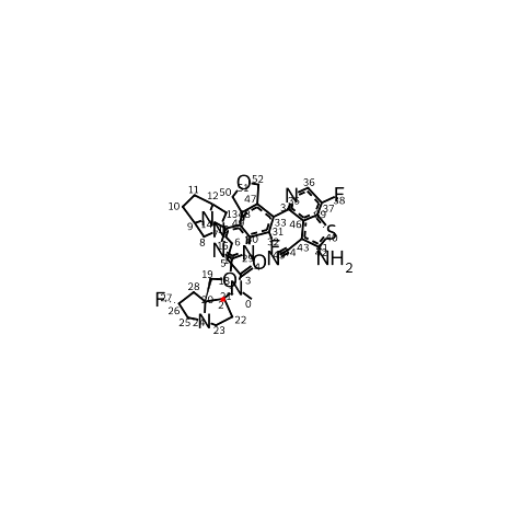 CN(C)C(=O)CCN1CC2CCC(C1)N2c1nc(OC[C@@]23CCCN2C[C@H](F)C3)nc2c(F)c(-c3ncc(F)c4sc(N)c(C#N)c34)c3c(c12)COC3